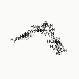 C#N.C#N.Cl.N.N.N.N.N.N.N.N#CS.N#CS.N#[C][Fe]([C]#N)([C]#N)([C]#N)([C]#N)[C]#N.NN.NNN.NOC(=O)ON.O=C(O)O.O=S(O)(O)=S.S